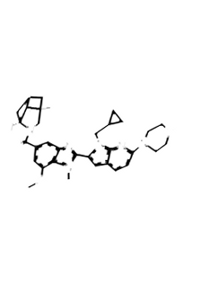 COc1cc(C(=O)N2C[C@H]3CC4C[C@@H]2[C@H]43)cc2nc(-c3cc4ccc(N5CCOCC5)nc4n3CC3CC3)n(C)c12